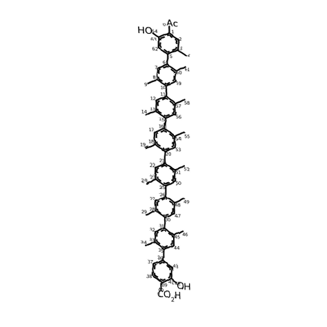 CC(=O)c1cc(C)c(-c2cc(C)c(-c3cc(C)c(-c4cc(C)c(-c5cc(C)c(-c6cc(C)c(-c7cc(C)c(-c8ccc(C(=O)O)c(O)c8)cc7C)cc6C)cc5C)cc4C)cc3C)cc2C)cc1O